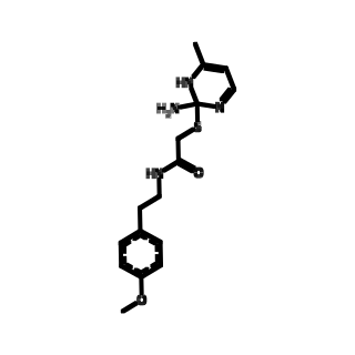 COc1ccc(CCNC(=O)CSC2(N)N=CC=C(C)N2)cc1